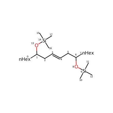 CCCCCCC(CC=CCC(CCCCCC)O[Si](C)(C)C)O[Si](C)(C)C